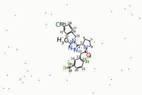 Cc1nnc([C@H]2CCCN2C(=O)Cc2cc(C(F)(F)F)ccc2F)n1Cc1ccc(Cl)cc1